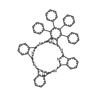 c1ccc(-c2c(-c3ccccc3)c(-c3ccccc3)c3c4nc5nc(nc6[nH]c(nc7nc(nc([nH]4)c3c2-c2ccccc2)-c2ccccc2-7)c2ccccc62)-c2ccccc2-5)cc1